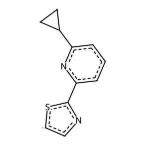 [c]1cnc(-c2cccc(C3CC3)n2)s1